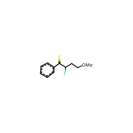 COCCC(F)C(=S)c1ccccc1